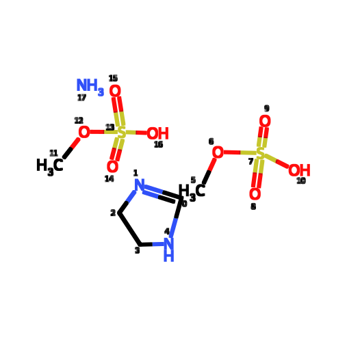 C1=NCCN1.COS(=O)(=O)O.COS(=O)(=O)O.N